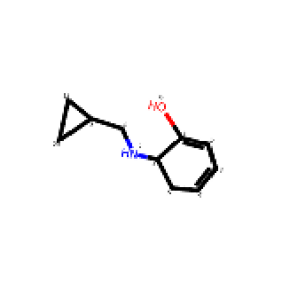 OC1=CC=CCC1NCC1CC1